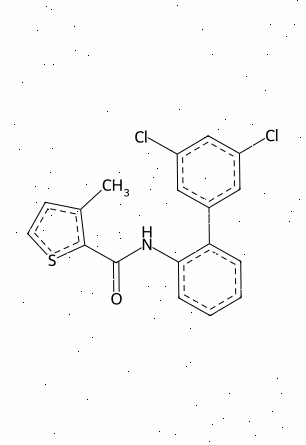 Cc1ccsc1C(=O)Nc1ccccc1-c1cc(Cl)cc(Cl)c1